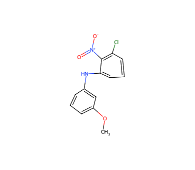 COc1cccc(Nc2cccc(Cl)c2[N+](=O)[O-])c1